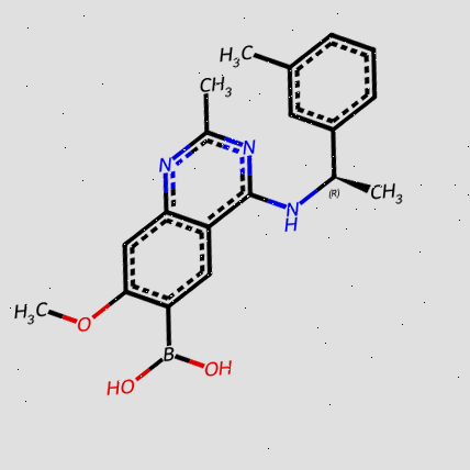 COc1cc2nc(C)nc(N[C@H](C)c3cccc(C)c3)c2cc1B(O)O